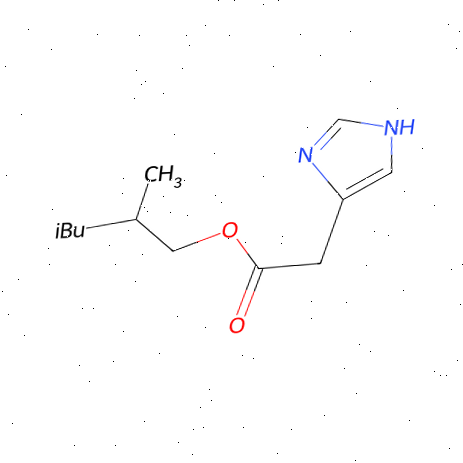 CCC(C)C(C)COC(=O)Cc1c[nH]cn1